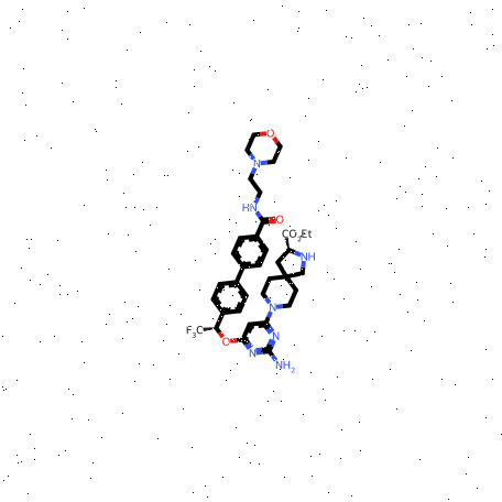 CCOC(=O)[C@@H]1CC2(CCN(c3cc(O[C@H](c4ccc(-c5ccc(C(=O)NCCN6CCOCC6)cc5)cc4)C(F)(F)F)nc(N)n3)CC2)CN1